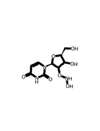 O=c1ccn([C@H]2O[C@@H](CO)C(O)C2ONO)c(=O)[nH]1